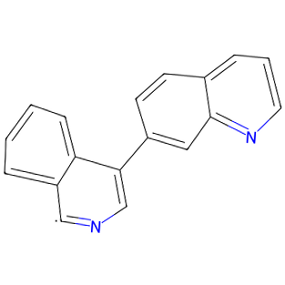 [c]1ncc(-c2ccc3cccnc3c2)c2ccccc12